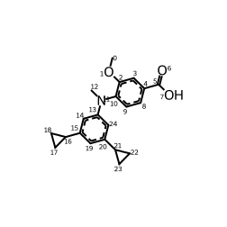 COc1cc(C(=O)O)ccc1N(C)c1cc(C2CC2)cc(C2CC2)c1